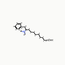 CCCCCCCCCCCCCCCCCCC(Cc1ccccc1)N(C)C